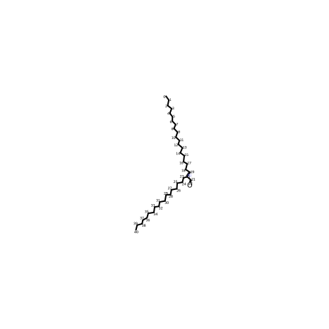 CCCCCCCCCCCCCCCCCCC/C=C(/C=O)CCCCCCCCCCCCCCCCCC